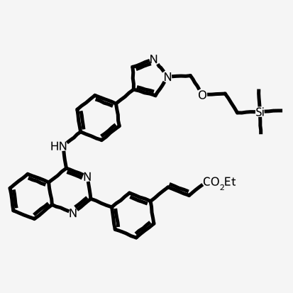 CCOC(=O)/C=C/c1cccc(-c2nc(Nc3ccc(-c4cnn(COCC[Si](C)(C)C)c4)cc3)c3ccccc3n2)c1